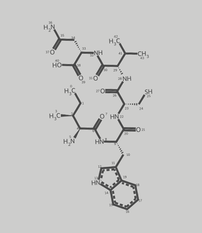 CC[C@H](C)[C@H](N)C(=O)N[C@@H](Cc1c[nH]c2ccccc12)C(=O)N[C@@H](CS)C(=O)N[C@H](C(=O)N[C@@H](CC(N)=O)C(=O)O)C(C)C